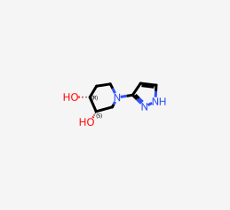 O[C@@H]1CCN(c2cc[nH]n2)C[C@@H]1O